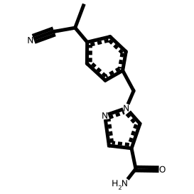 CC(C#N)c1ccc(Cn2cc(C(N)=O)cn2)cc1